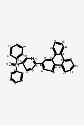 O=P(c1ccccc1)(c1ccccc1)c1ccc(-c2ccc3c4ccccc4c4ccccc4c3c2)nc1